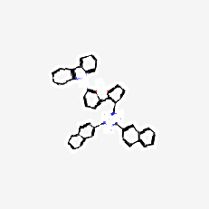 C1=Cc2c(n(-c3cccc4c3oc3cccc(-c5nc(-c6ccc7ccccc7c6)nc(-c6ccc7ccccc7c6)n5)c34)c3ccccc23)CC1